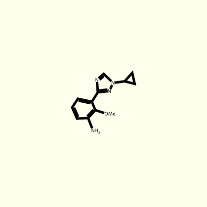 COc1c(N)cccc1-c1ncn(C2CC2)n1